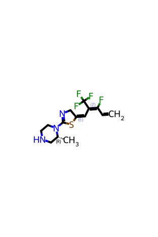 C=C/C(F)=C(\C=C1/CN=C(N2CCNC[C@H]2C)S1)C(F)(F)F